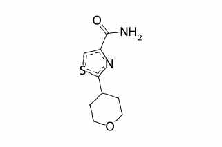 NC(=O)c1csc(C2CCOCC2)n1